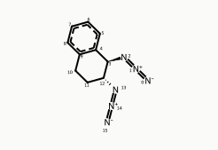 [N-]=[N+]=N[C@@H]1c2ccccc2CC[C@H]1N=[N+]=[N-]